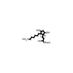 CCCCCC(O)/C=C/[C@@]1(C)[C@H](O)C[C@H](O)[C@]1(C)CCCCCCC(=O)O